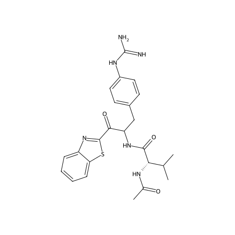 CC(=O)N[C@H](C(=O)NC(Cc1ccc(NC(=N)N)cc1)C(=O)c1nc2ccccc2s1)C(C)C